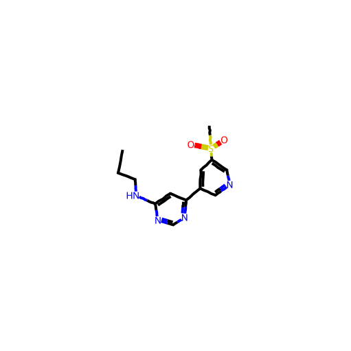 CCCNc1cc(-c2cncc(S(C)(=O)=O)c2)ncn1